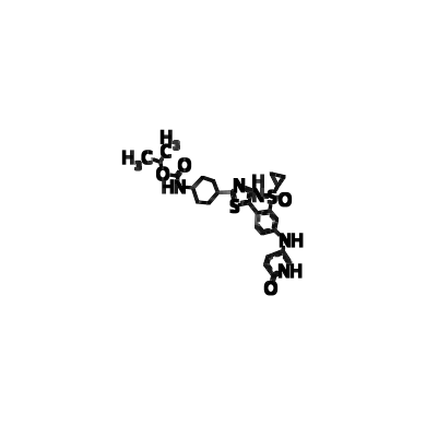 CC(C)OC(=O)NC1CCC(c2ncc(-c3ccc(Nc4ccc(=O)[nH]c4)cc3S(=N)(=O)C3CC3)s2)CC1